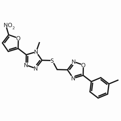 Cc1cccc(-c2nc(CSc3nnc(-c4ccc([N+](=O)[O-])o4)n3C)no2)c1